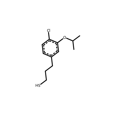 CC(C)Oc1cc(CCCS)ccc1Cl